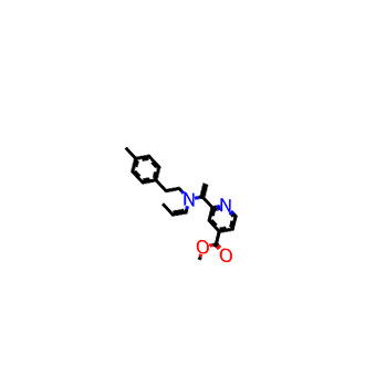 C=C(c1cc(C(=O)OC)ccn1)N(/C=C\C)CCc1ccc(C)cc1